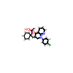 CC(O)CC1(Cc2cn(-c3ccc(F)cc3)c3ncccc3c2=O)CCCCC1